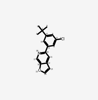 CC(C)(C)c1cc(Cl)cc(-c2cc3ccoc3cn2)c1